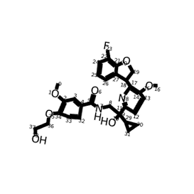 COc1cc(C(=O)NCC(O)(c2ccc(OC)c(C3COc4c(F)cccc43)n2)C2CC2)ccc1OCCO